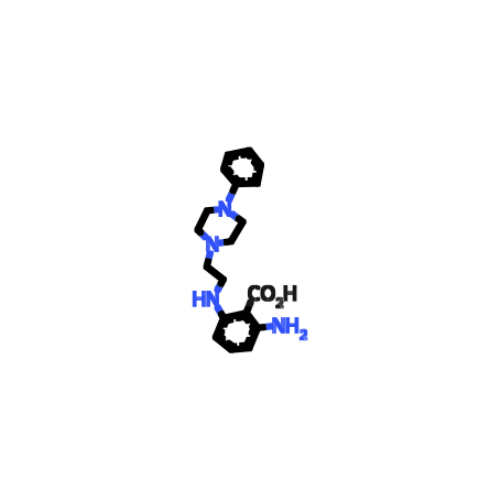 Nc1cccc(NCCN2CCN(c3ccccc3)CC2)c1C(=O)O